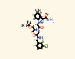 CC(CO[Si](C)(C)C(C)(C)C)N(CC(=O)NCc1cccc(Cl)c1F)C(=O)Cn1nc(C(N)=O)c2cc(C#N)ccc21